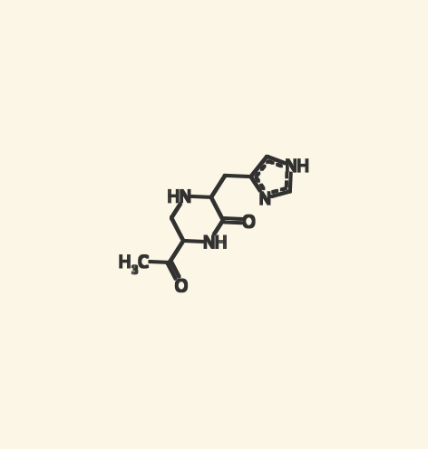 CC(=O)C1CNC(Cc2c[nH]cn2)C(=O)N1